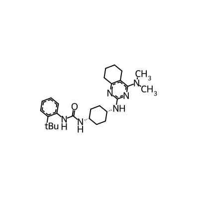 CN(C)c1nc(N[C@H]2CC[C@@H](NC(=O)Nc3ccccc3C(C)(C)C)CC2)nc2c1CCCC2